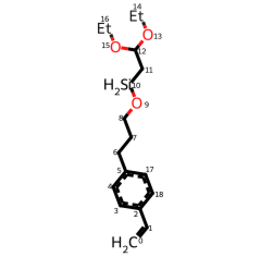 C=Cc1ccc(CCCO[SiH2]CC(OCC)OCC)cc1